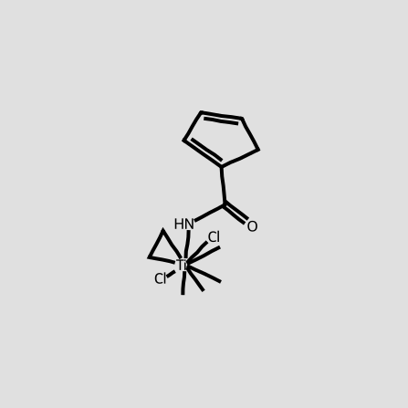 [CH3][Ti]1([CH3])([CH3])([CH3])([Cl])([Cl])([NH]C(=O)C2=CC=CC2)[CH2][CH2]1